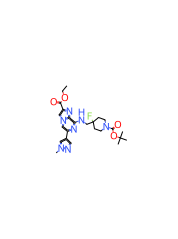 CCOC(=O)c1cn2cc(-c3cnn(C)c3)nc(NCC3(F)CCN(C(=O)OC(C)(C)C)CC3)c2n1